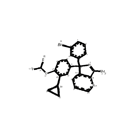 NC1=NC(c2cccc(Br)c2)(c2ccc(OC(F)F)c(C3CC3)c2)c2cccnc21